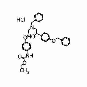 CCOC(=O)Nc1ccc(OCCN(Cc2ccccc2)CC(O)c2ccc(OCc3ccccc3)cc2)cc1.Cl